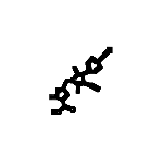 C#Cc1c(-c2ccc(C#N)cc2)c(C)n(Cc2cc(C(=O)O)[nH]n2)c1C